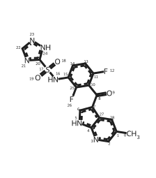 Cc1cnc2[nH]cc(C(=O)c3c(F)ccc(NS(=O)(=O)c4ncn[nH]4)c3F)c2c1